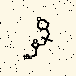 CC(C)(C)CC1COC1CC(C)(C)CC1CCOCC1